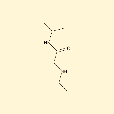 CCNCC(=O)NC(C)C